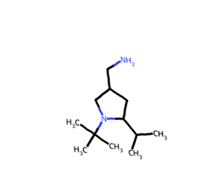 CC(C)C1CC(CN)CN1C(C)(C)C